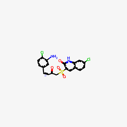 Nc1cc(/C=C\C(=O)CS(=O)(=O)c2cc3ccc(Cl)cc3[nH]c2=O)ccc1Cl